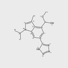 COC(O)c1cc(-c2nnn[nH]2)cc2c1c(C)cn2C(C)C